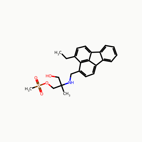 CCc1ccc2c3c(ccc(CNC(C)(CO)COS(C)(=O)=O)c13)-c1ccccc1-2